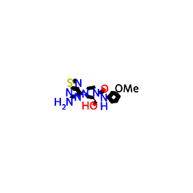 COc1cccc(NC(=O)N2CCN(c3nc(N)nc4scnc34)C[C@H]2CO)c1